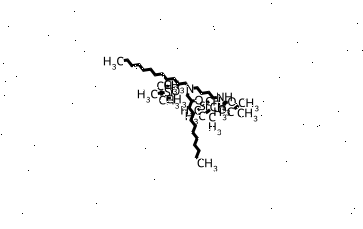 CCCCCCCCCCC(CN(CCCCNC(=O)OC(C)(C)C)CC(CCCCCCCCCC)O[Si](C)(C)C(C)(C)C)O[Si](C)(C)C(C)(C)C